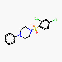 O=S(=O)(c1ccc(Cl)cc1Cl)N1CCN(c2ccccc2)CC1